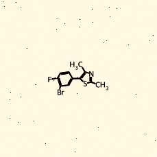 Cc1nc(C)c(-c2ccc(F)c(Br)c2)s1